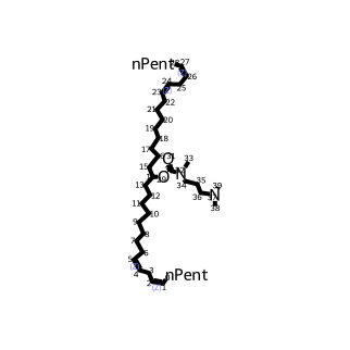 CCCCC/C=C\C/C=C\CCCCCCCCC(CCCCCCCC/C=C\C/C=C\CCCCC)OC(=O)N(C)CCCN(C)C